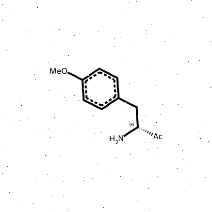 COc1ccc(C[C@@H](N)C(C)=O)cc1